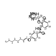 CCCCCCC=COc1ccc(C(=O)Nc2cccc3c2OC(c2nnn[nH]2)CO3)cc1